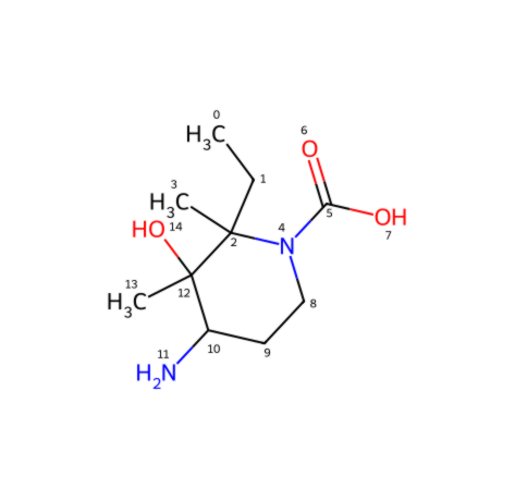 CCC1(C)N(C(=O)O)CCC(N)C1(C)O